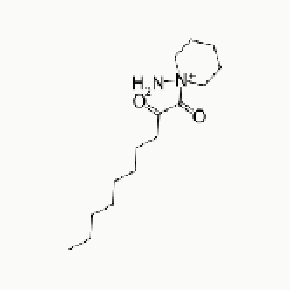 CCCCCCCCC(=O)C(=O)[N+]1(N)CCCCC1